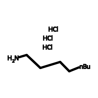 CCCCCCCCN.Cl.Cl.Cl